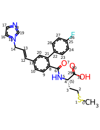 CSCC[C@H](NC(=O)c1ccc(C=CCn2ccnc2)cc1-c1ccc(F)cc1)C(=O)O